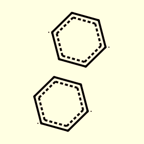 [c]1c[c]ccc1.[c]1cc[c]cc1